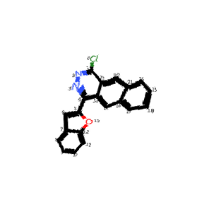 Clc1nnc(-c2cc3ccccc3o2)c2cc3ccccc3cc12